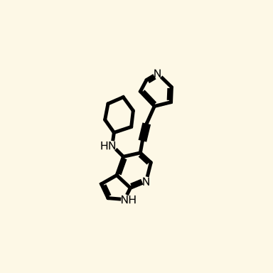 C(#Cc1cnc2[nH]ccc2c1NC1CCCCC1)c1ccncc1